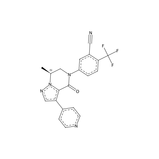 C[C@H]1CN(c2ccc(C(F)(F)F)c(C#N)c2)C(=O)c2c(-c3ccncc3)cnn21